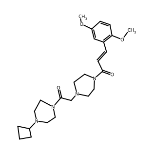 COc1ccc(OC)c(C=CC(=O)N2CCN(CC(=O)N3CCN(C4CCC4)CC3)CC2)c1